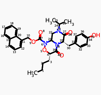 CCCC[C@@H]1ON(C(=O)OCc2cccc3ccccc23)C2CN(C(C)C)C(=O)[C@H](Cc3ccc(O)cc3)N2C1=O